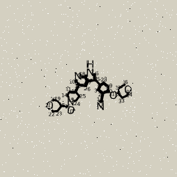 N#Cc1cc(-c2c[nH]c3ncc(C4=CCN(C(=O)C5CCOCC5)CC4)cc23)ccc1OC1CCOCC1